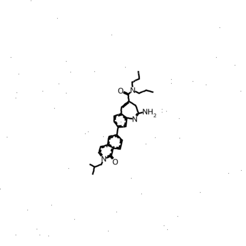 CCCN(CCC)C(=O)C1=Cc2ccc(-c3ccc4c(=O)n(CC(C)C)ccc4c3)cc2N=C(N)C1